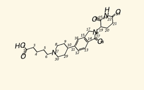 O=C(O)CCCCN1CCC(c2ccc3c(c2)CN(C2CCC(=O)NC2=O)C3=O)CC1